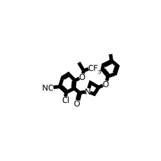 Cc1ccc(OC2CN(C(=O)c3c(OC(C)C(F)(F)F)ccc(C#N)c3Cl)C2)cc1